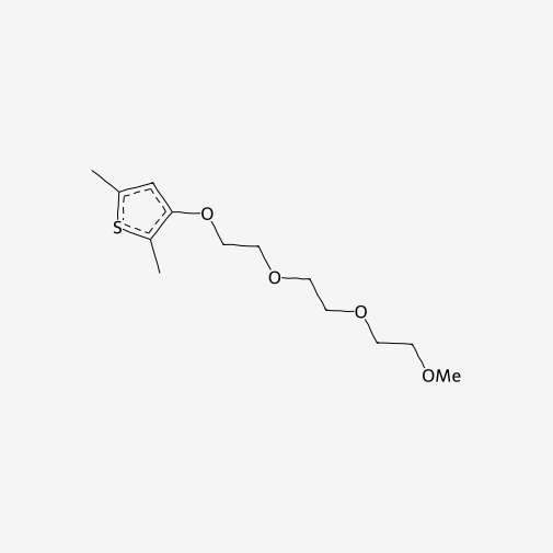 COCCOCCOCCOc1cc(C)sc1C